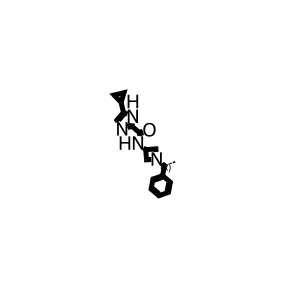 C[C@H](c1ccccc1)N1CC(NC(=O)c2ncc(C3CC3)[nH]2)C1